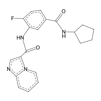 O=C(NC1CCCC1)c1ccc(F)c(NC(=O)c2cnc3ccccn23)c1